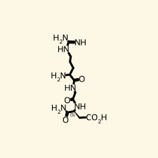 N=C(N)NCCCC(N)C(=O)NCC(=O)N[C@@H](CC(=O)O)C(N)=O